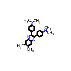 Cc1cc2nc(-c3ccc(N(C)C)cc3)c(-c3ccc(N(C)C)cc3)nc2cc1C